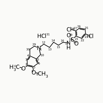 COc1cc2c(cc1OC)CN(CCCCCNS(=O)(=O)c1cc(Cl)ccc1Cl)CC2.Cl